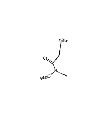 CCC[CH]CC(=O)N(C)OC